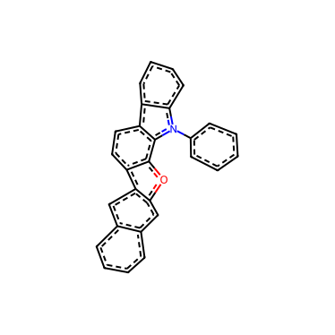 c1ccc(-n2c3ccccc3c3ccc4c5cc6ccccc6cc5oc4c32)cc1